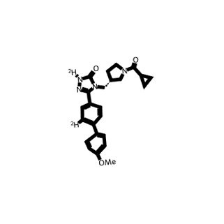 [2H]c1cc(-c2nn([2H])c(=O)n2C[C@@H]2CCN(C(=O)C3CC3)C2)ccc1-c1ccc(OC)cc1